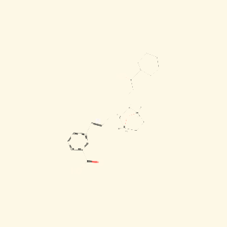 O=C(O)c1cccc(/C=C/C[C@@H]2[C@H](CCC(O)C3CCCCC3)[C@@H]3CC[C@H]2O3)c1